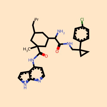 CC(C)CC1CC(C(N)C(=O)NCC2(c3ccc(Cl)cc3)CC2)CC(C)(C(=O)Nc2ccnc3[nH]ccc23)C1